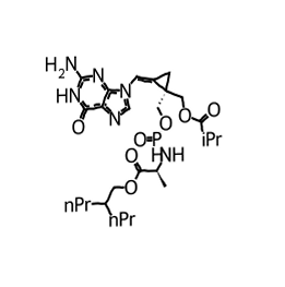 CCCC(CCC)COC(=O)[C@H](C)N[PH](=O)OC[C@@]1(COC(=O)C(C)C)C/C1=C/n1cnc2c(=O)[nH]c(N)nc21